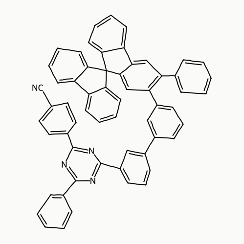 N#Cc1ccc(-c2nc(-c3ccccc3)nc(-c3cccc(-c4cccc(-c5cc6c(cc5-c5ccccc5)-c5ccccc5C65c6ccccc6-c6ccccc65)c4)c3)n2)cc1